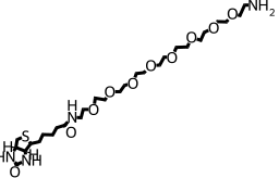 NCCOCCOCCOCCOCCOCCOCCOCCOCCNC(=O)CCCCC1SC[C@@H]2NC(=O)N[C@H]12